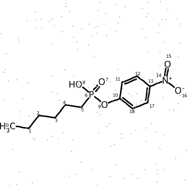 CCCCCCP(=O)(O)Oc1ccc([N+](=O)[O-])cc1